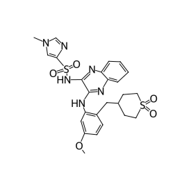 COc1ccc(CC2CCS(=O)(=O)CC2)c(Nc2nc3ccccc3nc2NS(=O)(=O)c2cn(C)cn2)c1